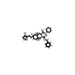 O=C(OC1CCCCC1)[C@@H]1C[C@H]2CC(F)(CCc3nnn[nH]3)CC[C@H]2CN1C(=O)OCc1ccccc1